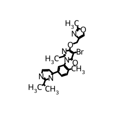 Cc1nc(COc2nc(C)n(-c3cc(-c4ccnc(C(C)C)n4)ccc3C)c(=O)c2Br)co1